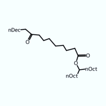 CCCCCCCCCCCC(=O)CCCCCCCC(=O)OC(CCCCCCCC)CCCCCCCC